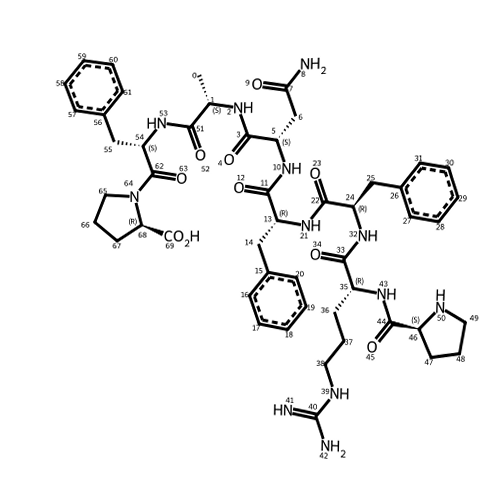 C[C@H](NC(=O)[C@H](CC(N)=O)NC(=O)[C@@H](Cc1ccccc1)NC(=O)[C@@H](Cc1ccccc1)NC(=O)[C@@H](CCCNC(=N)N)NC(=O)[C@@H]1CCCN1)C(=O)N[C@@H](Cc1ccccc1)C(=O)N1CCC[C@@H]1C(=O)O